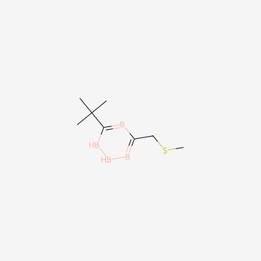 CSCC1=BBBC(C(C)(C)C)=B1